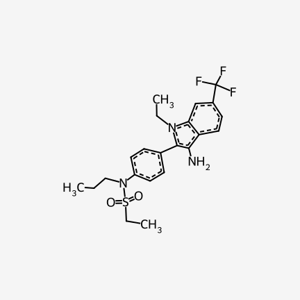 CCCN(c1ccc(-c2c(N)c3ccc(C(F)(F)F)cc3n2CC)cc1)S(=O)(=O)CC